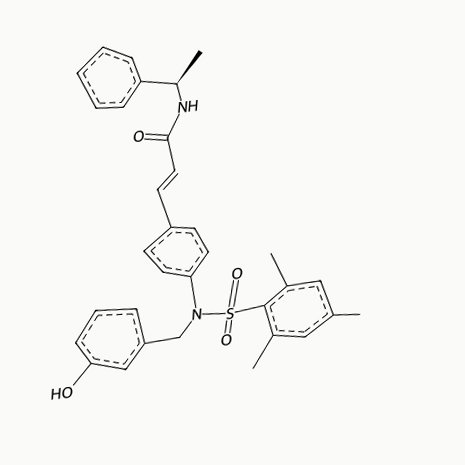 Cc1cc(C)c(S(=O)(=O)N(Cc2cccc(O)c2)c2ccc(/C=C/C(=O)N[C@H](C)c3ccccc3)cc2)c(C)c1